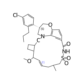 CCCc1cc(Cl)ccc1[C@@H]1COc2ccc3cc2N(CC2CCC2C(OC)/C=C/CC(C)CS(=O)(=O)NC3=O)C1